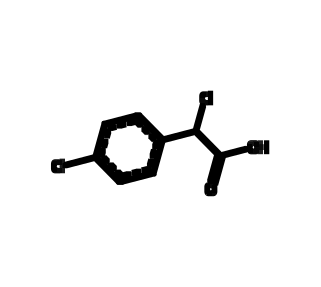 O=C(O)C(Cl)c1ccc(Cl)cc1